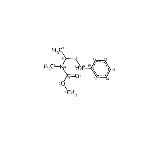 COC(=O)N(C)C(C)CNc1ccccc1